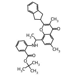 Cc1cc(C(C)Nc2ccccc2C(=O)OC(C)(C)C)c2oc(C3Cc4ccccc4C3)c(C)c(=O)c2c1